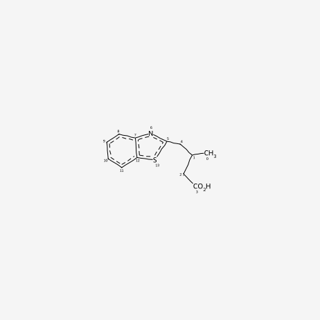 CC([CH]C(=O)O)Cc1nc2ccccc2s1